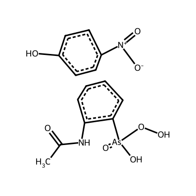 CC(=O)Nc1ccccc1[As](=O)(O)OO.O=[N+]([O-])c1ccc(O)cc1